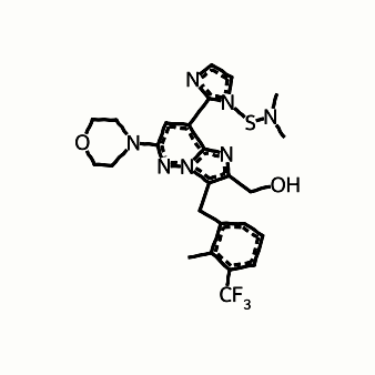 Cc1c(Cc2c(CO)nc3c(-c4nccn4SN(C)C)cc(N4CCOCC4)nn23)cccc1C(F)(F)F